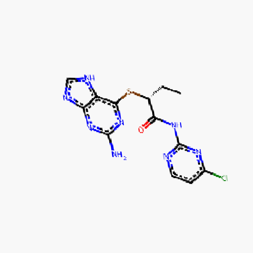 CC[C@@H](Sc1nc(N)nc2nc[nH]c12)C(=O)Nc1nccc(Cl)n1